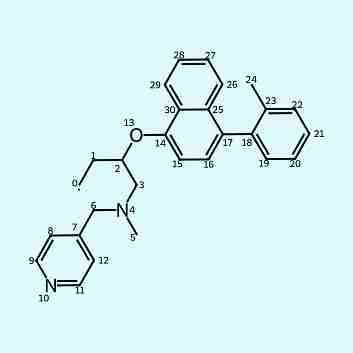 [CH2]CC(CN(C)Cc1ccncc1)Oc1ccc(-c2ccccc2C)c2ccccc12